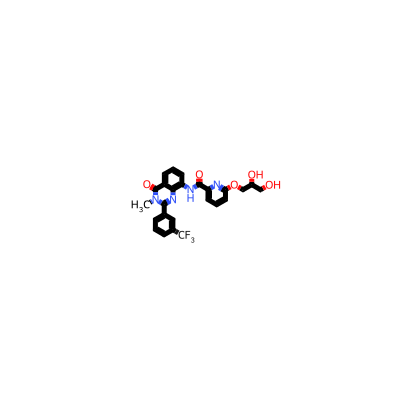 Cn1c(-c2cccc(C(F)(F)F)c2)nc2c(NC(=O)c3cccc(OCC(O)CO)n3)cccc2c1=O